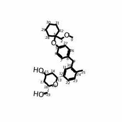 COCC1(Oc2ccc(Cc3cc([C@H]4CC(O)C[C@@H](CO)O4)ccc3C)cc2)CCCCC1